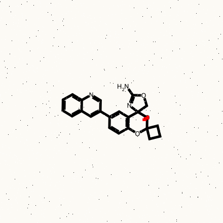 NC1=NC2(CO1)c1cc(-c3cnc4ccccc4c3)ccc1OC1(CCC1)C21COC1